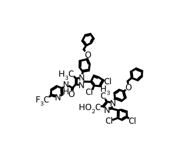 Cc1c(C(=O)Nc2ccc(C(F)(F)F)nc2)nc(-c2ccc(Cl)cc2Cl)n1-c1ccc(OCc2ccccc2)cc1.Cc1c(C(=O)O)nc(-c2ccc(Cl)cc2Cl)n1-c1ccc(OCc2ccccc2)cc1